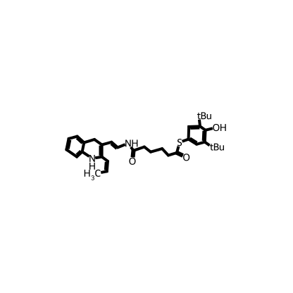 C/C=C\C1=C(/C=C/NC(=O)CCCCC(=O)Sc2cc(C(C)(C)C)c(O)c(C(C)(C)C)c2)Cc2ccccc2N1